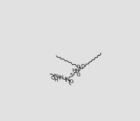 CCCCCCCCCCCCOCC(CNC(=O)CCSCCN(C(=O)CC)C(C)(C)CN(C)C(C)(C)CNC(=O)CC)OCCCCCCCCCCCC